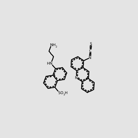 NCCNc1cccc2c(S(=O)(=O)O)cccc12.S=C=Nc1cccc2nc3ccccc3cc12